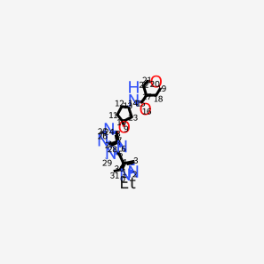 CCn1ncc(-c2nc3c(OC4CCC(NC(=O)C5CCOCC5)C4)ncnc3n2C)c1C